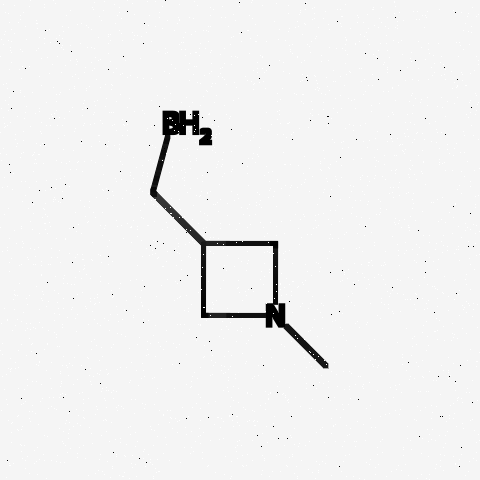 BCC1CN(C)C1